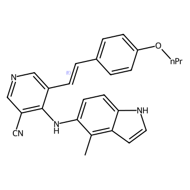 CCCOc1ccc(/C=C/c2cncc(C#N)c2Nc2ccc3[nH]ccc3c2C)cc1